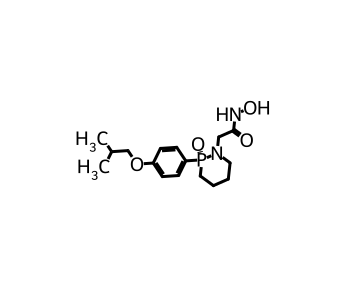 CC(C)COc1ccc(P2(=O)CCCCN2CC(=O)NO)cc1